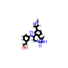 CC1=C2c3ccc(-c4cnn(C)c4)cc3C(Nc3cccc(CCO)c3)CCN2NN1